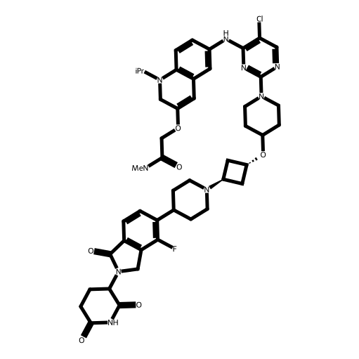 CNC(=O)COC1=Cc2cc(Nc3nc(N4CCC(O[C@H]5C[C@H](N6CCC(c7ccc8c(c7F)CN(C7CCC(=O)NC7=O)C8=O)CC6)C5)CC4)ncc3Cl)ccc2N(C(C)C)C1